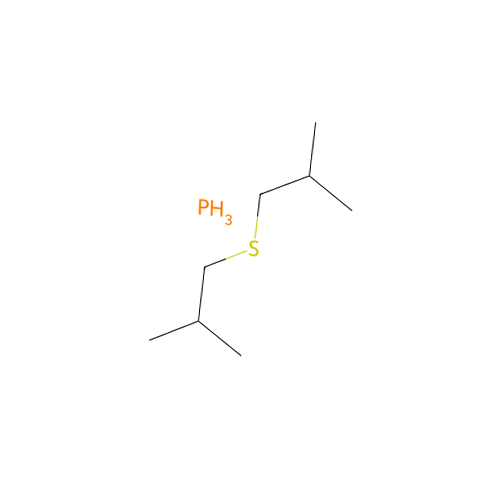 CC(C)CSCC(C)C.P